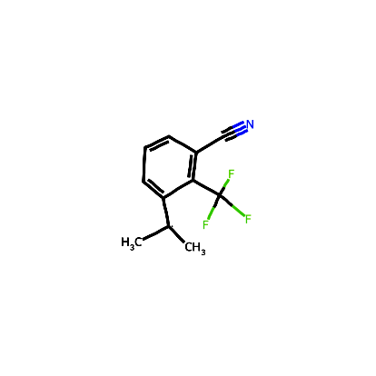 C[C](C)c1cccc(C#N)c1C(F)(F)F